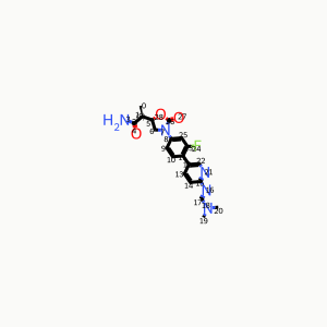 C[C@H](C(N)=O)C1CN(c2ccc(-c3ccc(N=CN(C)C)nc3)c(F)c2)C(=O)O1